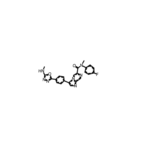 CNc1nnc(-c2ccc(-c3cnc4cnc(C(=O)N(C)c5ccc(F)cc5)cn34)cc2)o1